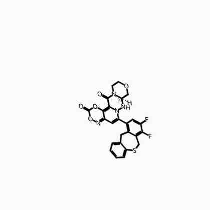 O=C1ON=C2C=C(c3cc(F)c(F)c4c3Cc3ccccc3SC4)N3N[C@@H]4COCCN4C(=O)C3=C2O1